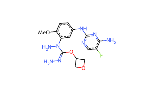 COc1ccc(Nc2ncc(F)c(N)n2)cc1N(N)/C(=N\N)OC1COC1